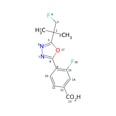 CC(C)(CF)c1nnc(-c2ccc(C(=O)O)cc2F)o1